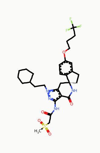 CS(=O)(=O)CC(=O)Nc1nn(CCC2CCCCC2)c2c1C(=O)N[C@@]1(CCc3cc(OCCCC(F)(F)F)ccc31)C2